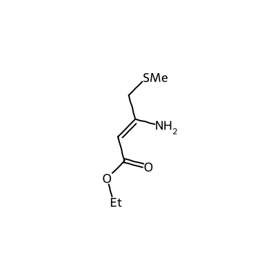 CCOC(=O)C=C(N)CSC